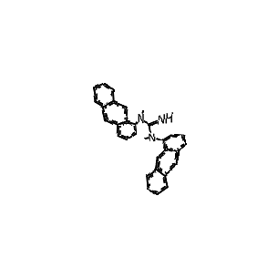 CN(C(=N)N(C)c1cccc2cc3ccccc3cc12)c1cccc2cc3ccccc3cc12